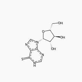 OC[C@H]1O[C@@H](n2cnc3c(=S)[nH]cnc32)[C@@H](O)[C@@H]1O